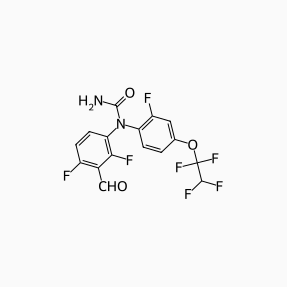 NC(=O)N(c1ccc(OC(F)(F)C(F)F)cc1F)c1ccc(F)c(C=O)c1F